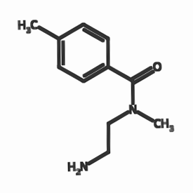 Cc1ccc(C(=O)N(C)CCN)cc1